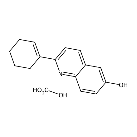 O=C(O)O.Oc1ccc2nc(C3=CCCCC3)ccc2c1